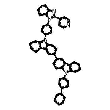 c1ccc(-c2ccc(-n3c4ccccc4c4cc(-c5ccc6c(c5)c5ccccc5n6-c5ccc(-n6c(-c7ccncc7)nc7ccccc76)cc5)ccc43)cc2)cc1